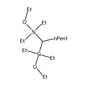 CCCCCC([Si](CC)(CC)OCC)[Si](CC)(CC)OCC